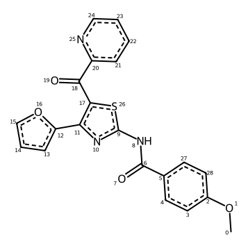 COc1ccc(C(=O)Nc2nc(-c3ccco3)c(C(=O)c3ccccn3)s2)cc1